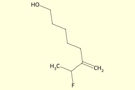 C=C(CCCCCO)C(C)F